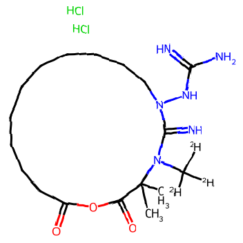 Cl.Cl.[2H]C([2H])([2H])N1C(=N)N(NC(=N)N)CCCCCCCCCCC(=O)OC(=O)C1(C)C